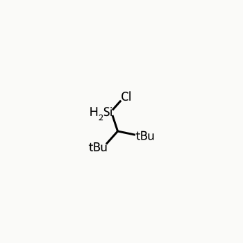 CC(C)(C)C([SiH2]Cl)C(C)(C)C